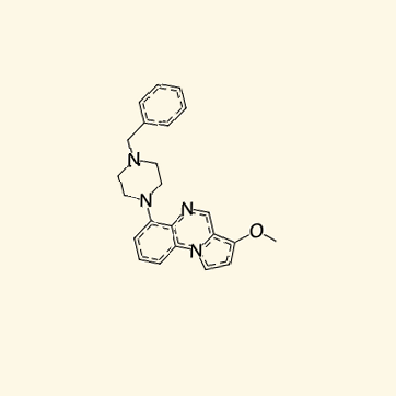 COc1ccn2c1cnc1c(N3CCN(Cc4ccccc4)CC3)cccc12